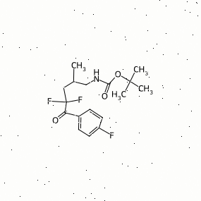 CC(CNC(=O)OC(C)(C)C)CC(F)(F)C(=O)c1ccc(F)cc1